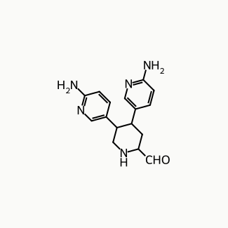 Nc1ccc(C2CNC(C=O)CC2c2ccc(N)nc2)cn1